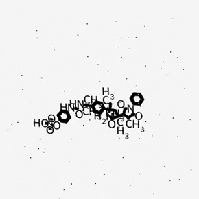 CCC(C)(CC(C)(C(N)=O)C1C(=O)N(c2ccccc2)C(=O)C1C)c1ccc(C(C)(C)NC(=O)Nc2ccc(OS(=O)(=O)O)cc2)cc1